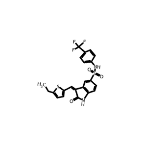 CCc1ccc(C=C2C(=O)Nc3ccc(S(=O)(=O)Nc4ccc(C(F)(F)F)cc4)cc32)s1